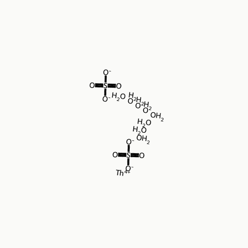 O.O.O.O.O.O.O.O.O=S(=O)([O-])[O-].O=S(=O)([O-])[O-].[Th+4]